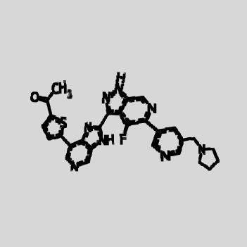 CC(=O)c1ccc(-c2cncc3[nH]c(-c4n[nH]c5cnc(-c6cncc(CN7CCCC7)c6)c(F)c45)nc23)s1